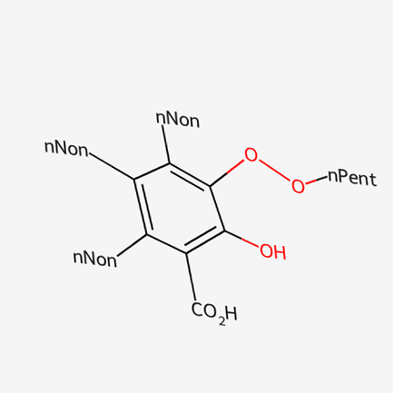 CCCCCCCCCc1c(CCCCCCCCC)c(OOCCCCC)c(O)c(C(=O)O)c1CCCCCCCCC